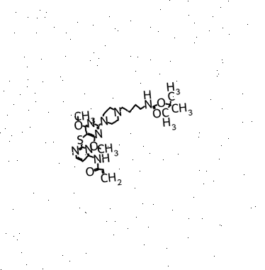 C=CC(=O)Nc1ccnc(Sc2c(OC)nc(N3CCN(CCCCNC(=O)OC(C)(C)C)CC3)nc2OC)n1